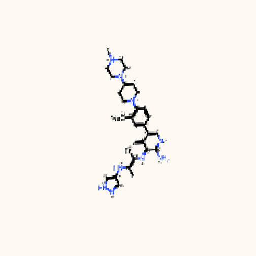 C=C1C(c2ccc(N3CCC(N4CCN(C)CC4)CC3)c(OC)c2)=CN=C(N)/C1=N/C(CC)=C(\C)Nc1cn[nH]c1